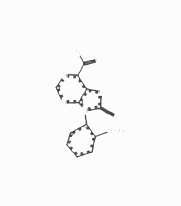 COc1ccccc1-n1c(=O)[nH]c2c(C(N)=O)ncnc21